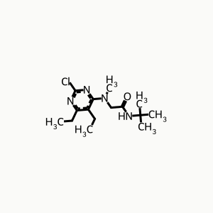 CCc1nc(Cl)nc(N(C)CC(=O)NC(C)(C)C)c1CC